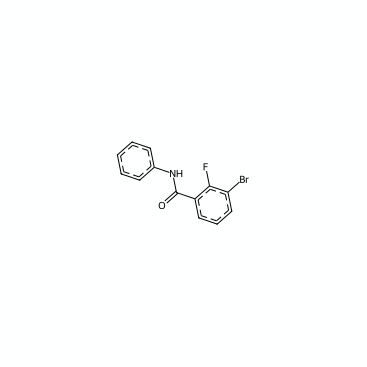 O=C(Nc1ccccc1)c1cccc(Br)c1F